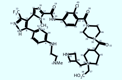 CNCCNc1ccc(-c2[nH]nc(C(F)(F)F)c2-c2cnc(C(=O)Nc3ccc(C(=O)N4CCN(C(=O)C5CC[N+](CC(=O)O)(CC6CNC6)CC5)CC4)c(Cl)c3)n2C)nc1